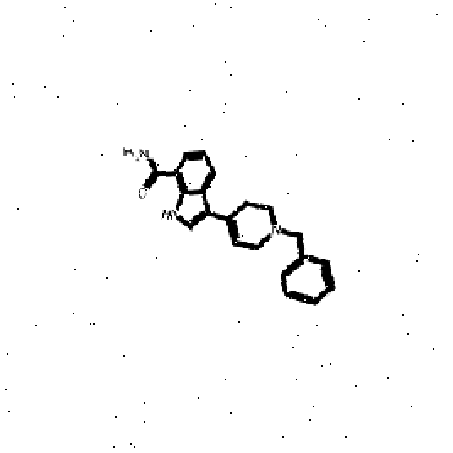 NC(=O)c1cccc2c(C3=CCN(Cc4ccccc4)CC3)c[nH]c12